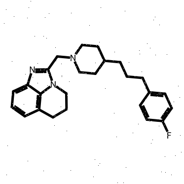 Fc1ccc(CCCC2CCN(Cc3nc4cccc5c4n3CCC5)CC2)cc1